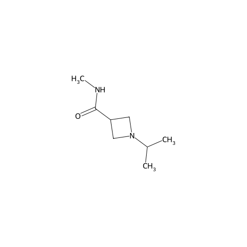 CNC(=O)C1CN(C(C)C)C1